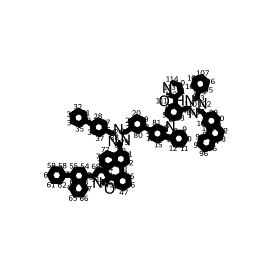 C1=CC2c3c(cc(-n4c5ccccc5c5ccc(-c6cccc(-c7nc(-c8ccc(-c9ccccc9)cc8)nc(-c8ccc(-c9cccc%10oc%11nc(-c%12ccc(-c%13ccccc%13)c%13ccccc%12%13)ccc%11c9%10)c9ccccc89)n7)c6)cc54)cc3C3=NC(c4ccc5ccc6ccccc6c5c4)=NC(c4ccccc4)N3)OC2N=C1